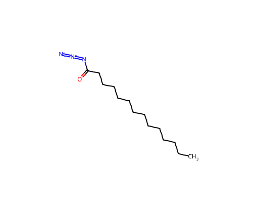 CCCCCCCCCCCCCC(=O)N=[N+]=[N-]